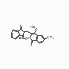 CCCCOc1c(CN2C(=O)c3ccccc3C2=O)n(CC(C)(C)C)c(=O)c2ccc(OC)cc12